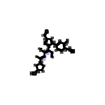 C=C/C(=C(F)\C=C(/C)N1CCC(O)C1)n1nc(C=O)cc1-c1ccc(C#N)c(F)c1